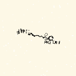 CCCCCCCCCCCCCCCCCC(=O)Oc1cccc(O)c1O